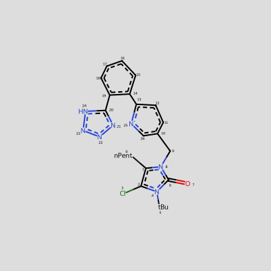 CCCCCc1c(Cl)n(C(C)(C)C)c(=O)n1Cc1ccc(-c2ccccc2-c2nnn[nH]2)nc1